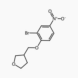 O=[N+]([O-])c1ccc(OCC2CCOC2)c(Br)c1